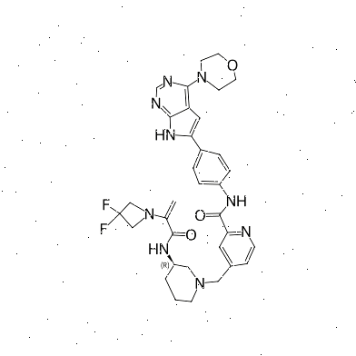 C=C(C(=O)N[C@@H]1CCCN(Cc2ccnc(C(=O)Nc3ccc(-c4cc5c(N6CCOCC6)ncnc5[nH]4)cc3)c2)C1)N1CC(F)(F)C1